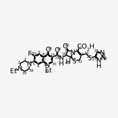 CCN1CCN(c2cc3c(cc2F)c(=O)c(C(=O)NC2C(=O)N4C(C(=O)O)=C(CSc5cnn[nH]5)CS[C@@H]24)cn3CC)CC1